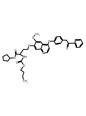 CCCCOC(=O)NC(CCOc1cc2nccc(Oc3ccc(CC(=O)c4ccccc4)cc3)c2cc1OC)C(=O)OC1CCCC1